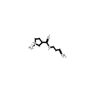 C=CCCOC(=O)C1CCN(C)C1